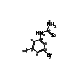 NC(=S)Nc1cc(Br)cc(I)c1